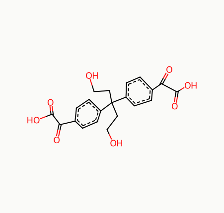 O=C(O)C(=O)c1ccc(C(CCO)(CCO)c2ccc(C(=O)C(=O)O)cc2)cc1